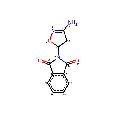 NC1=NOC(N2C(=O)c3ccccc3C2=O)C1